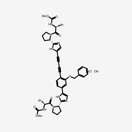 COC(=O)N[C@H](C(=O)N1CCC[C@H]1c1ncc(C#CC#Cc2ccc(-c3cnc([C@@H]4CCCN4C(=O)[C@@H](NC(=O)OC)C(C)C)[nH]3)cc2OCc2ccccc2)[nH]1)C(C)C.Cl.Cl